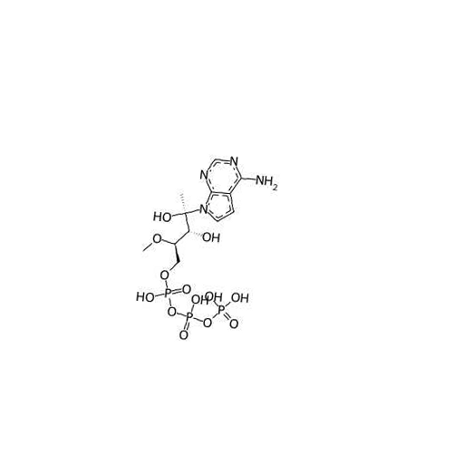 CO[C@H](COP(=O)(O)OP(=O)(O)OP(=O)(O)O)[C@@H](O)[C@@](C)(O)n1ccc2c(N)ncnc21